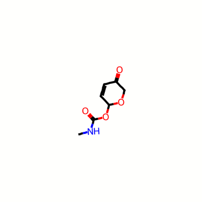 CNC(=O)OC1C=CC(=O)CO1